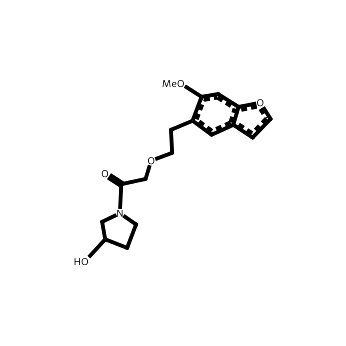 COc1cc2occc2cc1CCOCC(=O)N1CCC(O)C1